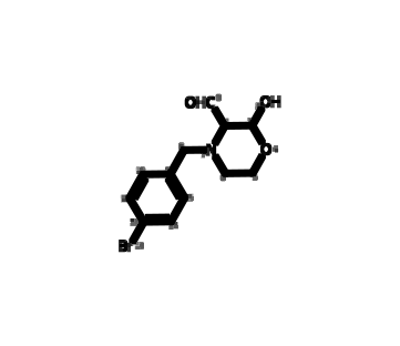 O=CC1C(O)OCCN1Cc1ccc(Br)cc1